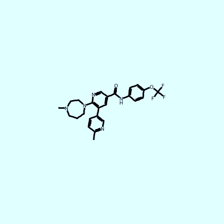 Cc1ccc(-c2cc(C(=O)Nc3ccc(OC(F)(F)F)cc3)cnc2N2CCCN(C)CC2)cn1